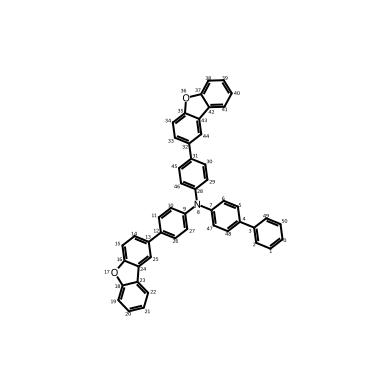 c1ccc(-c2ccc(N(c3ccc(-c4ccc5oc6ccccc6c5c4)cc3)c3ccc(-c4ccc5oc6ccccc6c5c4)cc3)cc2)cc1